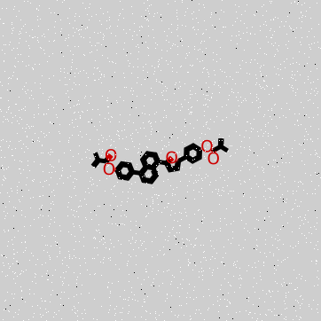 C=C(C)C(=O)Oc1ccc(-c2ccc(-c3cccc4c(-c5ccc(OC(=O)C(=C)C)cc5)cccc34)o2)cc1